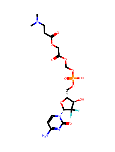 CN(C)CCC(=O)OCC(=O)OCOP(=O)(O)OC[C@H]1O[C@@H](n2ccc(N)nc2=O)C(F)(F)[C@@H]1O